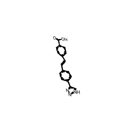 O=C(O)c1ccc(/C=C/c2ccc(-c3c[nH]nn3)cc2)cc1